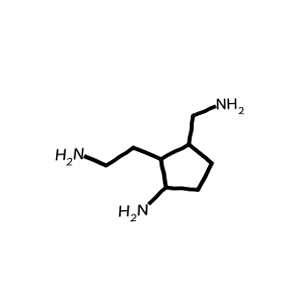 NCCC1C(N)CCC1CN